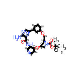 CC(C)(C)OC(=O)N1CC2CC1COc1cccc(c1)-c1cnc(N)c(n1)C(=O)Nc1cnccc1O2